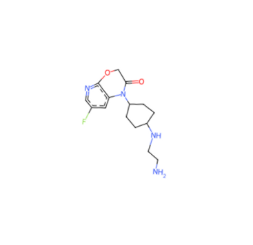 NCCNC1CCC(N2C(=O)COc3ncc(F)cc32)CC1